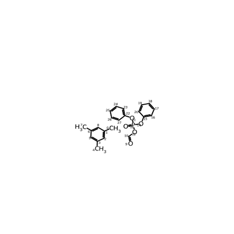 Cc1cc(C)cc(C)c1.O=COP(=O)(Oc1ccccc1)Oc1ccccc1